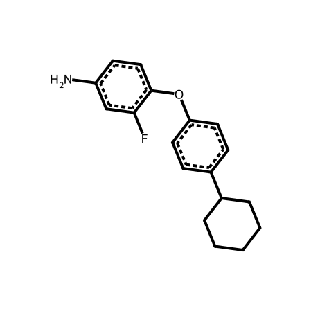 Nc1ccc(Oc2ccc(C3CCCCC3)cc2)c(F)c1